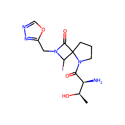 C[C@@H](O)[C@H](N)C(=O)N1CCCC12C(=O)N(Cc1nnco1)C2I